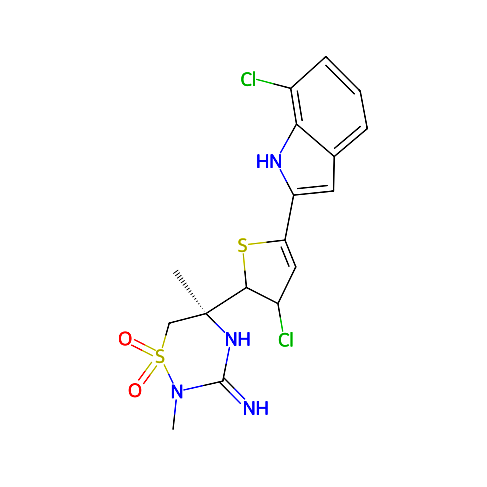 CN1C(=N)N[C@](C)(C2SC(c3cc4cccc(Cl)c4[nH]3)=CC2Cl)CS1(=O)=O